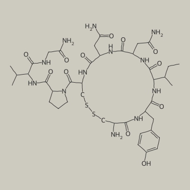 CCC(C)C1NC(=O)C(Cc2ccc(O)cc2)NC(=O)C(N)CSSCC(C(=O)N2CCCC2C(=O)NC(C(=O)NCC(N)=O)C(C)C)NC(=O)C(CC(N)=O)NC(=O)C(CC(N)=O)NC1=O